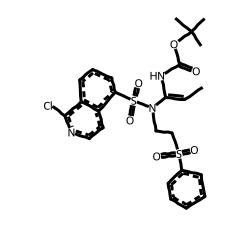 CC=C(NC(=O)OC(C)(C)C)N(CCS(=O)(=O)c1ccccc1)S(=O)(=O)c1cccc2c(Cl)nccc12